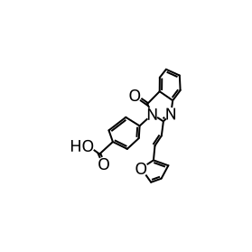 O=C(O)c1ccc(-n2c(/C=C/c3ccco3)nc3ccccc3c2=O)cc1